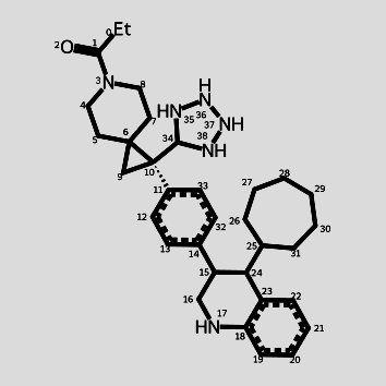 CCC(=O)N1CCC2(CC1)C[C@]2(c1ccc(C2CNc3ccccc3C2C2CCCCCC2)cc1)C1NNNN1